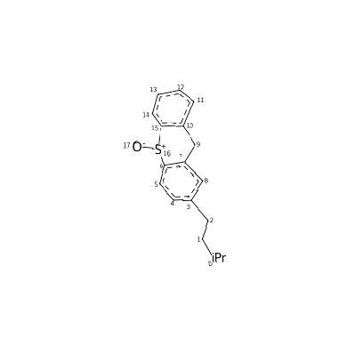 CC(C)CCc1ccc2c(c1)Cc1ccccc1[S+]2[O-]